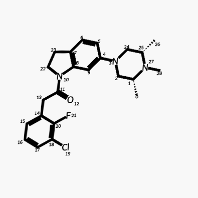 C[C@@H]1CN(c2ccc3c(c2)N(C(=O)Cc2cccc(Cl)c2F)CC3)C[C@H](C)N1C